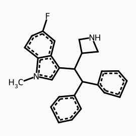 Cn1cc(C(C2CNC2)C(c2ccccc2)c2ccccc2)c2cc(F)ccc21